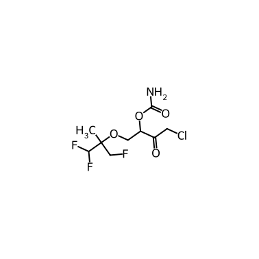 CC(CF)(OCC(OC(N)=O)C(=O)CCl)C(F)F